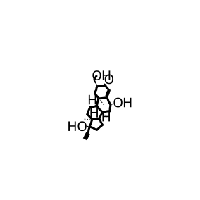 C#C[C@]1(O)CC[C@H]2[C@@H]3C[C@@H](O)C4=CC(=O)[C@H](CO)C[C@]4(C)[C@H]3CC[C@@]21C